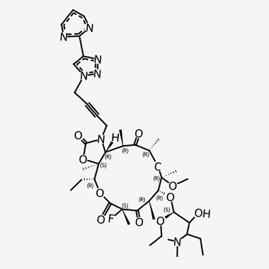 CCO[C@@H](O[C@@H]1[C@@H](C)C(=O)[C@](C)(F)C(=O)O[C@H](CC)[C@@]2(C)OC(=O)N(CC#CCn3cc(-c4ncccn4)nn3)[C@@H]2[C@@H](C)C(=O)[C@H](C)C[C@@]1(C)OC)C(O)C(CC)N(C)C